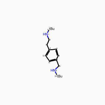 CC(C)(C)NCCc1ccc(CNC(C)(C)C)cc1